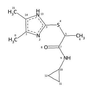 Cc1nc(SC(C)C(=O)NC2CC2)[nH]c1C